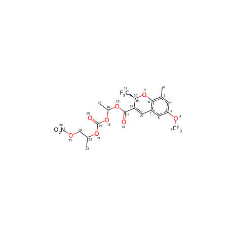 Cc1cc(OC(F)(F)F)cc2c1O[C@H](C(F)(F)F)C(C(=O)OC(C)OC(=O)OC(C)CO[N+](=O)[O-])=C2